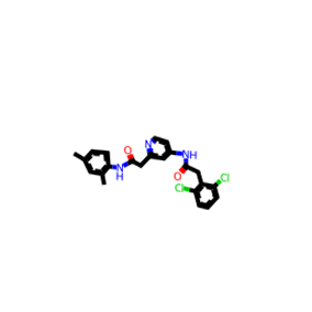 Cc1ccc(NC(=O)Cc2cc(NC(=O)Cc3c(Cl)cccc3Cl)ccn2)c(C)c1